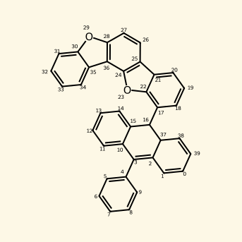 C1=CC2=C(c3ccccc3)c3ccccc3C(c3cccc4c3oc3c4ccc4oc5ccccc5c43)C2C=C1